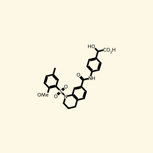 COc1ccc(C)cc1S(=O)(=O)N1CCCc2ccc(C(=O)Nc3ccc(C(O)C(=O)O)cc3)cc21